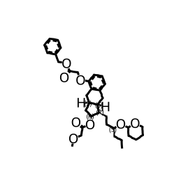 CCC[C@@H](CC[C@@H]1[C@H]2Cc3cccc(OCC(=O)OCc4ccccc4)c3C[C@H]2C[C@H]1OC(=O)COC)OC1CCCCO1